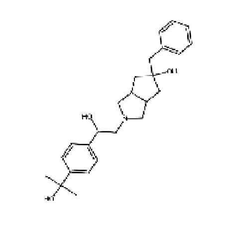 CC(C)(O)c1ccc(C(O)CN2CC3CC(O)(Cc4ccccc4)CC3C2)cc1